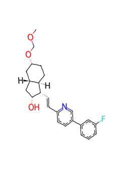 COCO[C@@H]1CC[C@@H]2[C@@H](C1)C[C@@H](O)[C@H]2/C=C/c1ccc(-c2cccc(F)c2)cn1